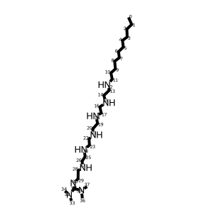 CCCCCCCCCCCCNCCNCCNCCNCCNCCNCCN=C(N(C)C)N(C)C